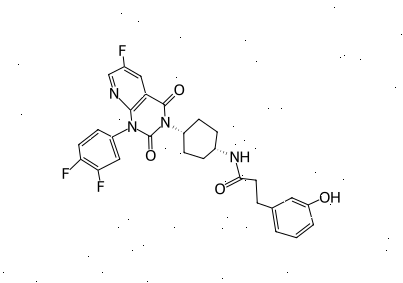 O=C(CCc1cccc(O)c1)N[C@H]1CC[C@@H](n2c(=O)c3cc(F)cnc3n(-c3ccc(F)c(F)c3)c2=O)CC1